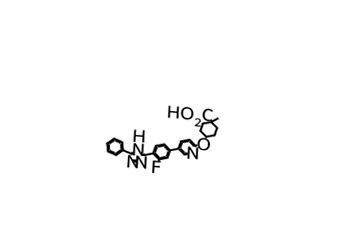 CC1(C(=O)O)CCC(Oc2ccc(-c3ccc(-c4nnc(-c5ccccc5)[nH]4)c(F)c3)cn2)CC1